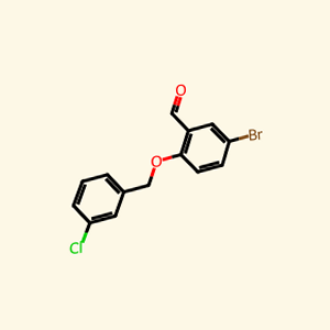 O=Cc1cc(Br)ccc1OCc1cccc(Cl)c1